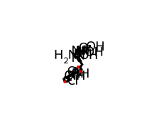 Nc1nc(C#CCC2CCN(NC(=O)NOc3ccccc3Cl)CC2)nc2c1ncn2[C@@H]1O[C@H](CO)[C@@H](O)[C@H]1O